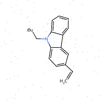 C=Cc1ccc2c(c1)c1ccccc1n2CC(C)CC